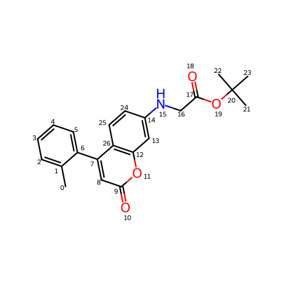 Cc1ccccc1-c1cc(=O)oc2cc(NCC(=O)OC(C)(C)C)ccc12